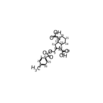 Cc1ccc(S(=O)(=O)OCC2CC3C(CCCN3C(=O)O)N2C(=O)O)cc1